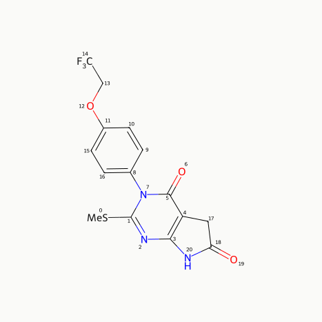 CSc1nc2c(c(=O)n1-c1ccc(OCC(F)(F)F)cc1)CC(=O)N2